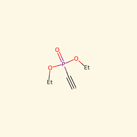 [C]#CP(=O)(OCC)OCC